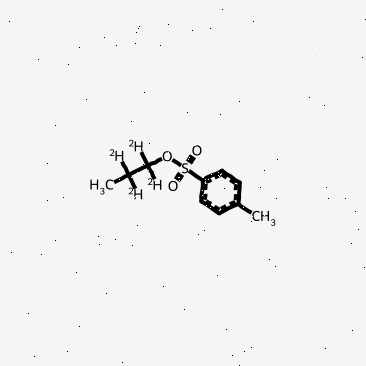 [2H]C([2H])(C)C([2H])([2H])OS(=O)(=O)c1ccc(C)cc1